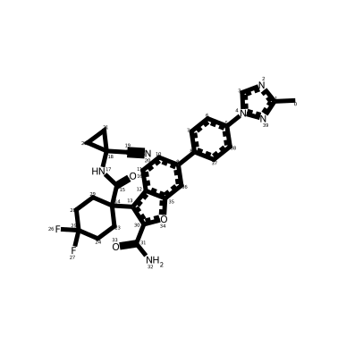 Cc1ncn(-c2ccc(-c3ccc4c(C5(C(=O)NC6(C#N)CC6)CCC(F)(F)CC5)c(C(N)=O)oc4c3)cc2)n1